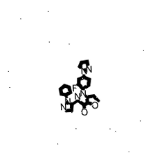 O=c1c(-c2ccnn2-c2ccccc2)nn(-c2ccc(-n3cccn3)cc2F)c2ccoc12